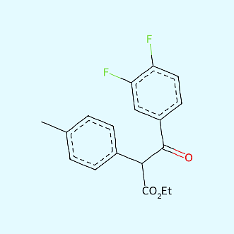 CCOC(=O)C(C(=O)c1ccc(F)c(F)c1)c1ccc(C)cc1